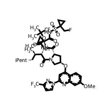 CCC[C@@H](C)C[C@@H](C)[C@H](NC(=O)OC(C)(C)C(F)(F)F)C(=O)N1C[C@H](Oc2cc(-n3ccc(C(F)(F)F)n3)nc3cc(OC)ccc23)C[C@H]1C(=O)N[C@]1(C(=O)NS(=O)(=O)C2(CF)CC2)C[C@H]1C